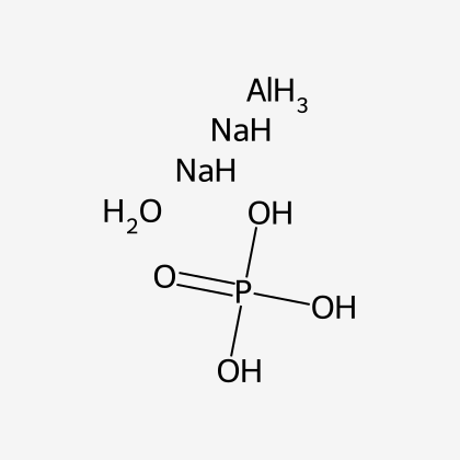 O.O=P(O)(O)O.[AlH3].[NaH].[NaH]